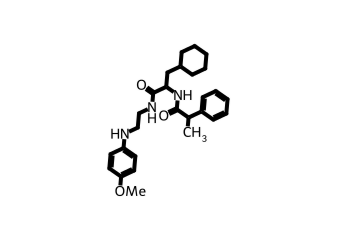 COc1ccc(NCCNC(=O)C(CC2CCCCC2)NC(=O)C(C)c2ccccc2)cc1